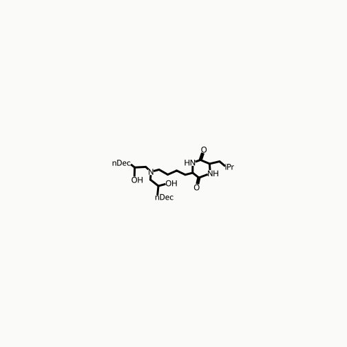 CCCCCCCCCCC(O)CN(CCCCC1NC(=O)C(CC(C)C)NC1=O)CC(O)CCCCCCCCCC